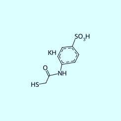 O=C(CS)Nc1ccc(S(=O)(=O)O)cc1.[KH]